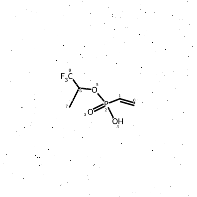 C=CP(=O)(O)OC(C)C(F)(F)F